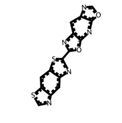 c1nc2cc3nc(-c4nc5cc6ncsc6cc5s4)oc3nc2o1